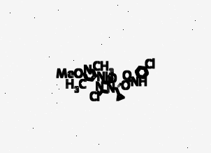 COc1nc(C)c(Nc2nc(Cl)cn([C@H](COC(=O)Nc3ccc(Cl)cc3)C3CC3)c2=O)cc1C